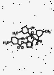 CC1CCC(C(C)C)C(S(=O)(=O)Oc2cccc(OS(=O)(=O)C3CC(C)CCC3C(C)C)c2OS(=O)(=O)C2CC(C)CCC2C(C)C)C1